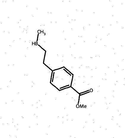 CBCCc1ccc(C(=O)OC)cc1